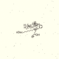 CCCCCCCCCCCCCCCCCCN(CCC(O)=C=O)OCc1ccccc1.C[N+](C)(C)CCOP(=O)(O)O